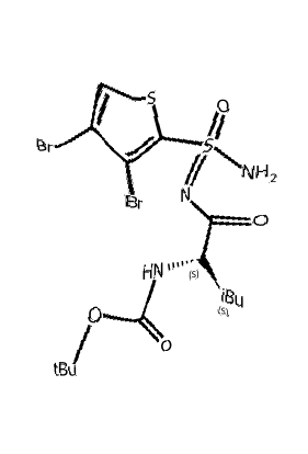 CC[C@H](C)[C@H](NC(=O)OC(C)(C)C)C(=O)N=S(N)(=O)c1scc(Br)c1Br